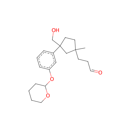 CC1(CCC=O)CCC(CO)(c2cccc(OC3CCCCO3)c2)C1